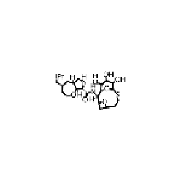 CC(C)C[C@@H]1CCO[C@@H]2[C@H](CN[C@@H]2C(=O)N[C@@H]2C3CC(CCSC4OC2C(O)C(O)C4O)O3)C1